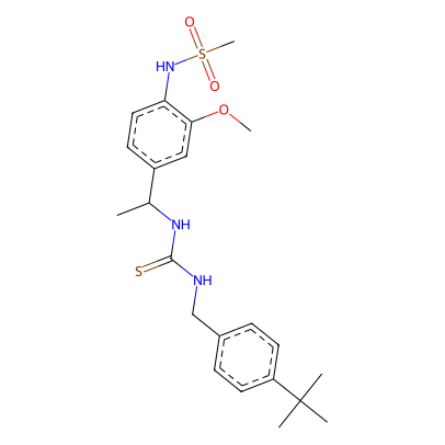 COc1cc(C(C)NC(=S)NCc2ccc(C(C)(C)C)cc2)ccc1NS(C)(=O)=O